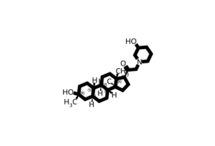 C[C@@]1(O)CC[C@H]2[C@@H](CC[C@@H]3[C@@H]2CC[C@]2(C)[C@@H](C(=O)CN4CCCC(O)C4)CC[C@@]32C)C1